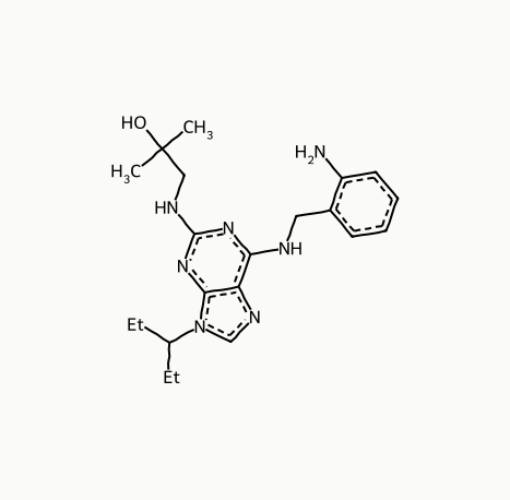 CCC(CC)n1cnc2c(NCc3ccccc3N)nc(NCC(C)(C)O)nc21